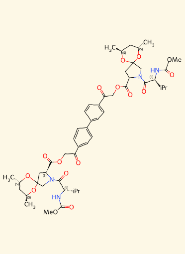 COC(=O)N[C@H](C(=O)N1CC2(CC1C(=O)OCC(=O)c1ccc(-c3ccc(C(=O)COC(=O)[C@@H]4CC5(CN4C(=O)[C@@H](NC(=O)OC)C(C)C)O[C@@H](C)C[C@H](C)O5)cc3)cc1)O[C@@H](C)C[C@H](C)O2)C(C)C